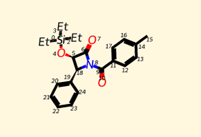 CC[Si](CC)(CC)O[C@H]1C(=O)N(C(=O)c2ccc(C)cc2)[C@H]1c1ccccc1